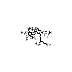 Cc1c(C)c2c(c(C)c1O)CC[C@@](C)(CCC[C@H](C)CCC[C@H](C)CCCC(C)C)O2.O=C(O)CCCCC(=O)O